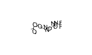 CC(=O)c1cccc(OCc2cn3ccc(-c4nnc(C(F)F)o4)cc3n2)c1